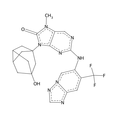 Cn1c(=O)n(C23CC4CC(O)(CC4C2)C3)c2nc(Nc3cn4ncnc4cc3C(F)(F)F)ncc21